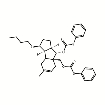 CCCCO[C@H]1CC[C@@H]2[C@H]1C1CC(C)=CC[C@@]1(COC(=S)Sc1ccccc1)[C@H]2OC(=S)Sc1ccccc1